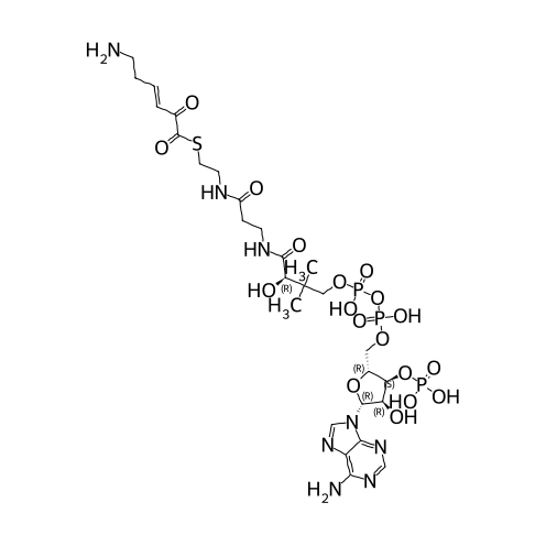 CC(C)(COP(=O)(O)OP(=O)(O)OC[C@H]1O[C@@H](n2cnc3c(N)ncnc32)[C@H](O)[C@@H]1OP(=O)(O)O)[C@@H](O)C(=O)NCCC(=O)NCCSC(=O)C(=O)C=CCCN